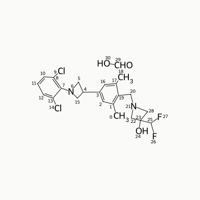 Cc1cc(C2CN(c3c(Cl)cccc3Cl)C2)cc(C)c1CN1CC(O)(C(F)F)C1.O=CO